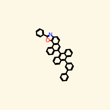 c1ccc(-c2cccc(-c3c4ccccc4c(-c4cc5ccc6nc(-c7ccccc7)oc6c5c5ccccc45)c4ccccc34)c2)cc1